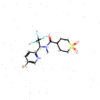 CN(C(=O)C1CCS(=O)(=O)CC1)[C@@H](c1ccc(Br)cn1)C(F)(F)F